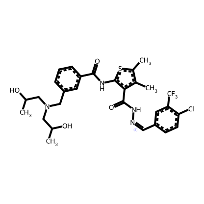 Cc1sc(NC(=O)c2cccc(CN(CC(C)O)CC(C)O)c2)c(C(=O)N/N=C\c2ccc(Cl)c(C(F)(F)F)c2)c1C